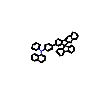 c1ccc(N(c2ccc(-c3ccc4c(c3)C3(c5ccccc5-c5ccccc53)c3cc5ccccc5cc3-4)cc2)c2cccc3ccccc23)cc1